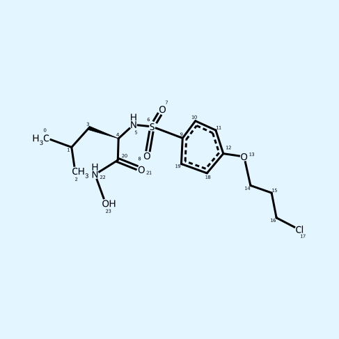 CC(C)C[C@@H](NS(=O)(=O)c1ccc(OCCCCl)cc1)C(=O)NO